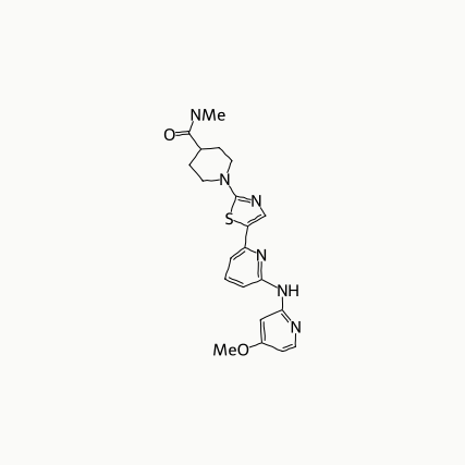 CNC(=O)C1CCN(c2ncc(-c3cccc(Nc4cc(OC)ccn4)n3)s2)CC1